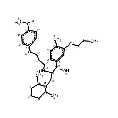 CCCOc1cc([C@H](O)C(CN2C(C)CCCC2C)NCCCOc2ccc(OC)cc2)ccc1C